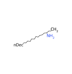 C=CCC(N)CCCCCCCCCCCCCCCCCCCCC